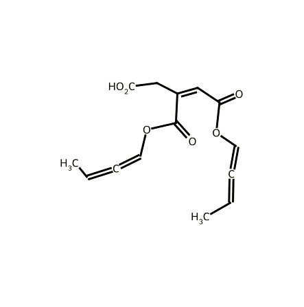 CC=C=COC(=O)C=C(CC(=O)O)C(=O)OC=C=CC